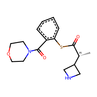 C[C@@H](C(=O)Sc1ccccc1C(=O)N1CCOCC1)C1CNC1